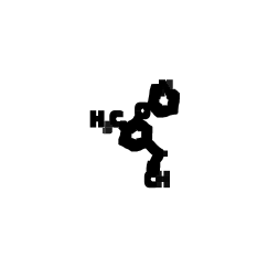 C#C[CH]c1ccc(C)c(Oc2cccnc2)c1